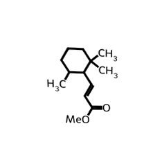 COC(=O)C=CC1C(C)CCCC1(C)C